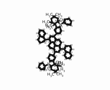 CC1(C)CC(C)(C)C2(C)c3cc(-c4cc(-c5cccc6ccccc56)c5ccc6c(-c7ccc8c(c7)C7(C)C(C)(C)CC(C)(C)CC7(C)N8c7ccccc7)cc(-c7cccc8ccccc78)c7ccc4c5c67)ccc3N(c3ccccc3)C2(C)C1